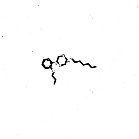 CCCCCCC[C@@H]1CO[C@@H](c2ccccc2OCCC)CO1